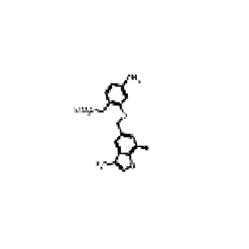 CCOC(=O)Cc1ccc(C)cc1OCc1cc(Br)c2occ(C(F)(F)F)c2c1